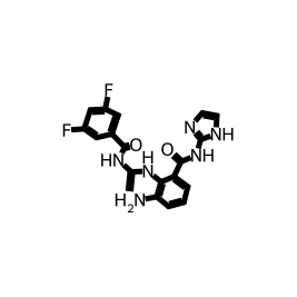 C=C(NC(=O)c1cc(F)cc(F)c1)Nc1c(N)cccc1C(=O)Nc1ncc[nH]1